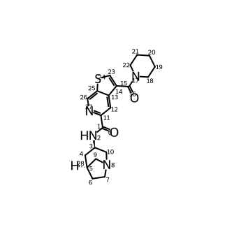 O=C(N[C@@H]1C[C@@H]2CCN(C2)C1)c1cc2c(C(=O)N3CCCCC3)csc2cn1